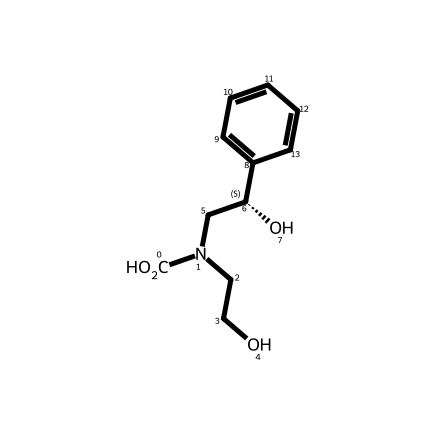 O=C(O)N(CCO)C[C@@H](O)c1ccccc1